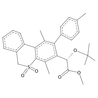 COC(=O)[C@@H](OC(C)(C)C)c1c(C)c2c(c(C)c1-c1ccc(C)cc1)-c1ccccc1CS2(=O)=O